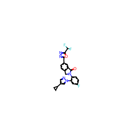 O=C1c2cc(-c3nnc(C(F)F)o3)ccc2CN1c1ccc(F)cc1-n1cc(C2CC2)cn1